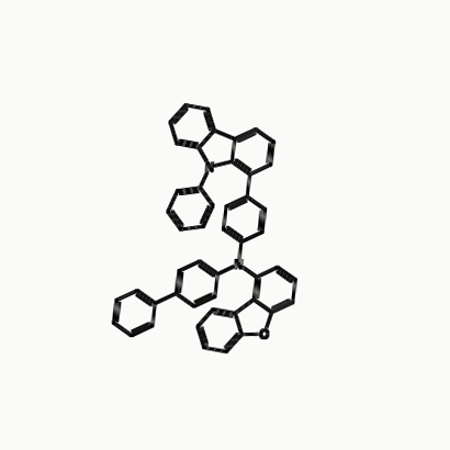 c1ccc(-c2ccc(N(c3ccc(-c4cccc5c6ccccc6n(-c6ccccc6)c45)cc3)c3cccc4oc5ccccc5c34)cc2)cc1